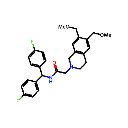 COCc1cc2c(cc1COC)CN(CC(=O)NC(c1ccc(F)cc1)c1ccc(F)cc1)CC2